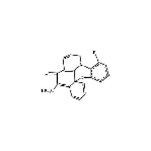 CCOC(=O)C1=C2C=CC=CC23Oc2cccc(F)c2N2CC=CC(=C23)C1=O